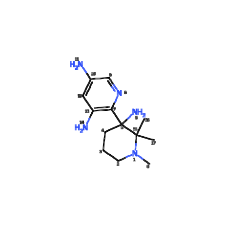 CN1CCCC(N)(c2ncc(N)cc2N)C1(C)C